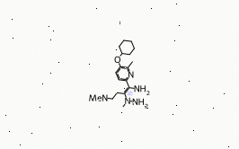 CNCC/C(=C(/N)c1ccc(OC2CCCCC2)c(C)n1)N(C)N